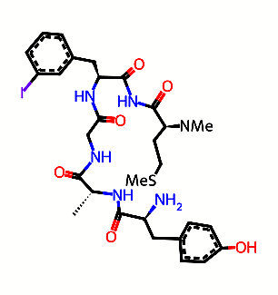 CN[C@@H](CCSC)C(=O)NC(=O)[C@H](Cc1cccc(I)c1)NC(=O)CNC(=O)[C@@H](C)NC(=O)[C@@H](N)Cc1ccc(O)cc1